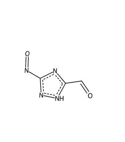 O=Cc1nc(N=O)n[nH]1